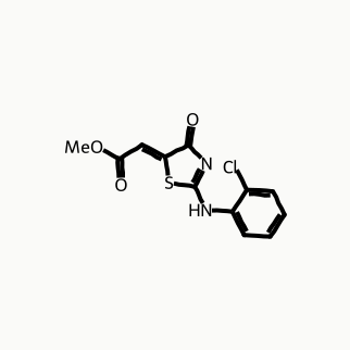 COC(=O)/C=C1\SC(Nc2ccccc2Cl)=NC1=O